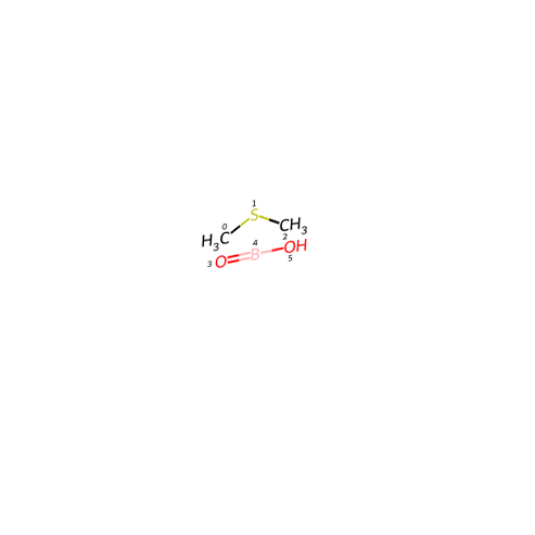 CSC.O=BO